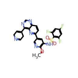 COc1ncc(-c2ccc3ncnc(C4=CCN=CC4)c3n2)cc1NS(=O)(=O)c1c(F)cc(F)cc1F